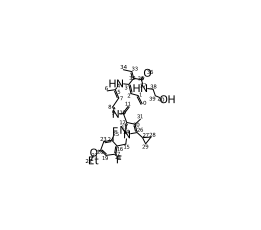 C=C/C=C(N/C(C)=C/C=N\C(=C)c1nn(Cc2c(F)cc(OCC)cc2F)c(C2CC2)c1C)\C(=C/C)C(=O)NCCO